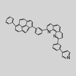 c1ccc(-c2ccc3ccc4c(-c5cccc(-c6ccc7ccc8ccc(-c9cccc(-c%10ccncc%10)c9)nc8c7n6)c5)ccc5ccc2c3c54)cc1